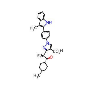 Cc1c(-c2ccc(-n3cc(C(=O)O)c([As](C(=O)[C@H]4CC[C@H](C)CC4)C(C)C)n3)cc2)[nH]c2ccccc12